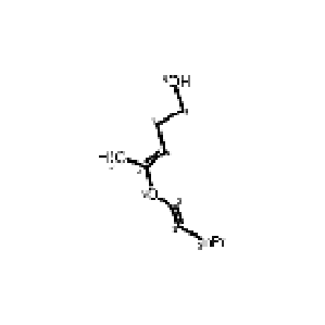 CCCC=COC(C)=CCCO